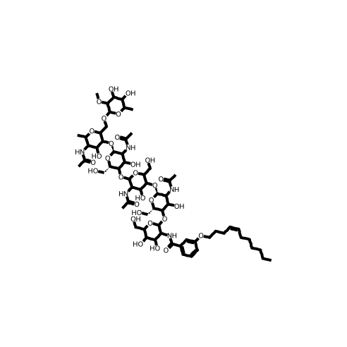 CCCCCC/C=C\CCCOc1cccc(C(=O)NC2C(OC3C(O)C(NC(C)=O)[C@H](OC4C(CO)OC(OC5C(O)C(NC(C)=O)[C@H](OC6C(COC7OC(C)C(O)C(O)C7OC)OC(C)C(NC(C)=O)C6O)O[C@H]5CO)C(NC(C)=O)C4O)O[C@H]3CO)OC(CO)C(O)C2O)c1